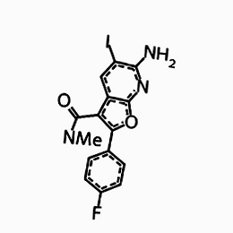 CNC(=O)c1c(-c2ccc(F)cc2)oc2nc(N)c(I)cc12